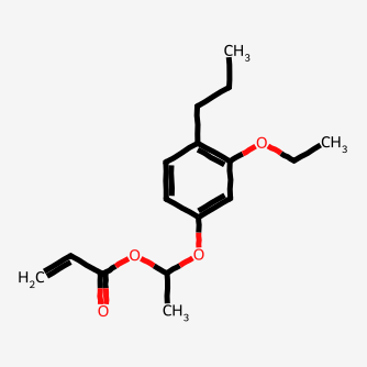 C=CC(=O)OC(C)Oc1ccc(CCC)c(OCC)c1